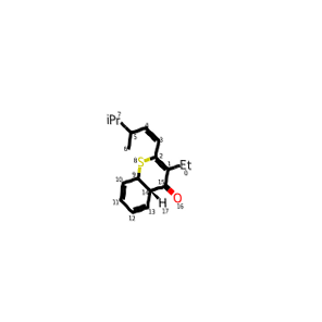 CCC1=C(/C=C\C(C)C(C)C)SC2C=CC=C[C@H]2C1=O